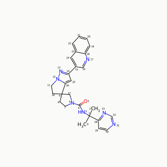 CC(C)(NC(=O)N1CCC2(CCn3nc(-c4cnc5ccccc5c4)cc32)C1)c1ccncn1